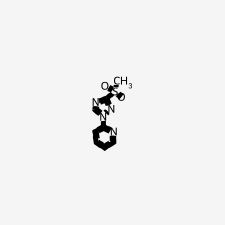 CS(=O)(=O)c1ncn(-c2ccccn2)n1